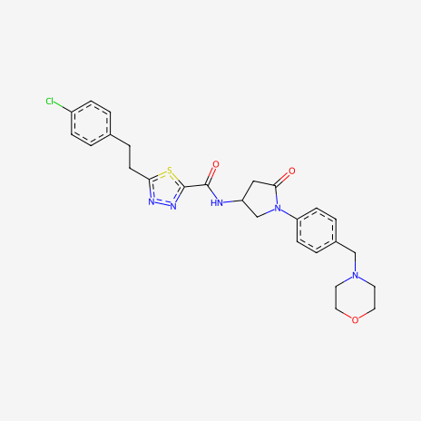 O=C(NC1CC(=O)N(c2ccc(CN3CCOCC3)cc2)C1)c1nnc(CCc2ccc(Cl)cc2)s1